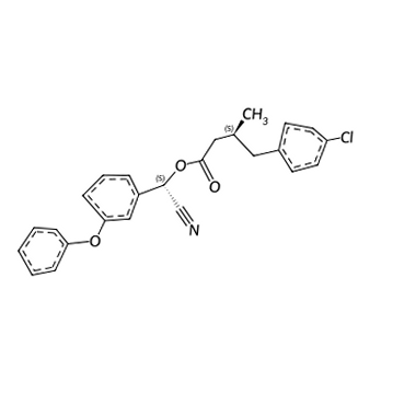 C[C@H](CC(=O)O[C@H](C#N)c1cccc(Oc2ccccc2)c1)Cc1ccc(Cl)cc1